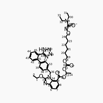 CCOc1nc2cccc(C(=O)OC(C)OC(=O)OCCCCCCO/N=[N+](\[O-])N(CC)CC)c2n1Cc1ccc(-c2ccccc2-c2nnn[nH]2)cc1